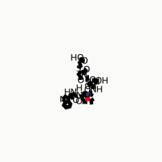 CN[C@H](C(=O)N[C@H](C(=O)N(C)[C@H](/C=C(\C)C(=O)N[C@@H](CC(=O)O)C(=O)NCCN1C(=O)CC(SCCC(=O)O)C1=O)C(C)C)C(C)(C)C)C(C)(C)c1cn(C)c2ccccc12